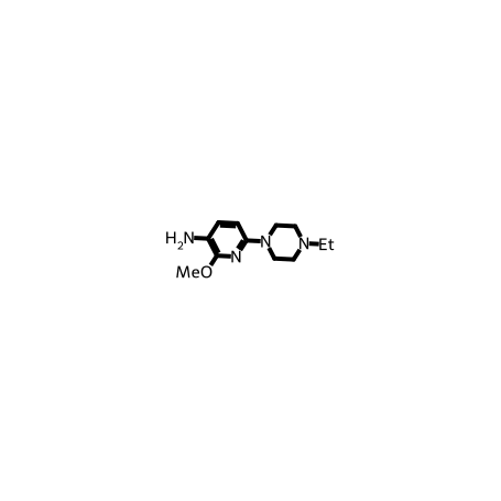 CCN1CCN(c2ccc(N)c(OC)n2)CC1